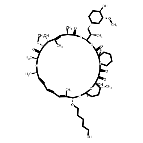 CO[C@@H]1C[C@H](C[C@@H](C)[C@@H]2CC(=O)[C@H](C)/C=C(\C)[C@@H](O)[C@@H](OC)C(=O)[C@H](C)C[C@H](C)/C=C/C=C/C=C(\C)[C@@H](OCCCCCO)C[C@@H]3CC[C@@H](C)[C@@](O)(O3)C(=O)C(=O)N3CCCC[C@H]3C(=O)O2)CC[C@H]1O